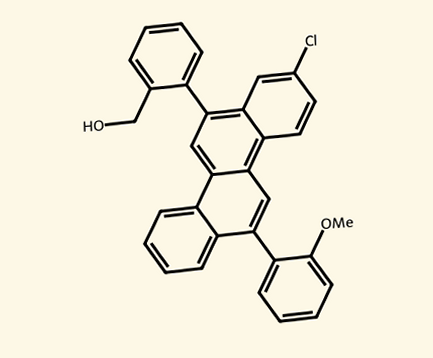 COc1ccccc1-c1cc2c3ccc(Cl)cc3c(-c3ccccc3CO)cc2c2ccccc12